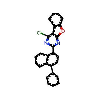 Clc1nc(-c2ccc(-c3ccccc3)c3ccccc23)nc2oc3ccccc3c12